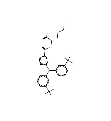 NCCC[C@H](NC(=O)c1ccc(C(c2cccc(C(F)(F)F)c2)c2cccc(C(F)(F)F)c2)s1)C(=O)O